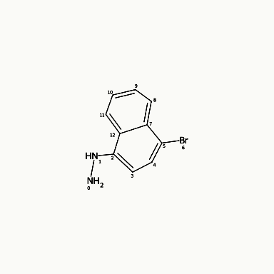 NNc1ccc(Br)c2ccccc12